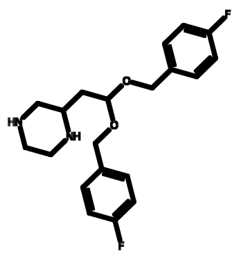 Fc1ccc(COC(CC2CNCCN2)OCc2ccc(F)cc2)cc1